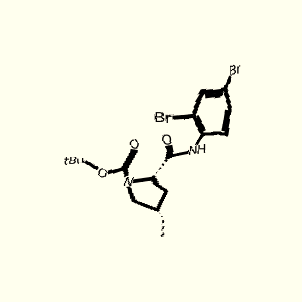 C[C@H]1C[C@@H](C(=O)Nc2ccc(Br)cc2Br)N(C(=O)OC(C)(C)C)C1